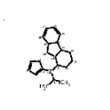 C[CH](C)[Zr]([C]1=CC=CC1)[CH]1CCCC2C3C=CC=CC3CC21